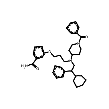 NC(=O)c1cccc(OCCCN(CC(c2ccccc2)C2CCCCC2)C2CCN(C(=O)c3ccccc3)CC2)c1